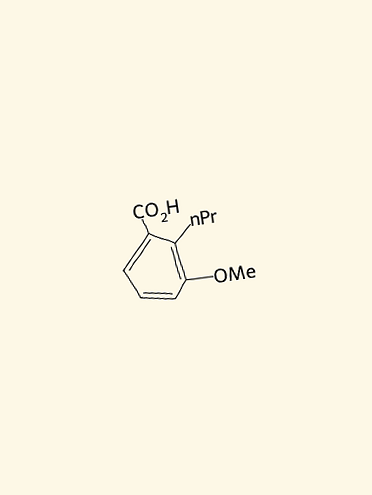 CCCc1c(OC)cccc1C(=O)O